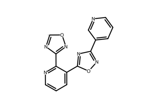 [c]1nc(-c2ncccc2-c2nc(-c3cccnc3)no2)no1